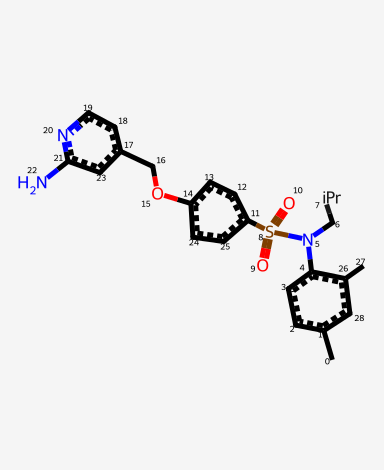 Cc1ccc(N(CC(C)C)S(=O)(=O)c2ccc(OCc3ccnc(N)c3)cc2)c(C)c1